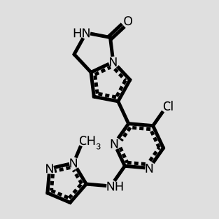 Cn1nccc1Nc1ncc(Cl)c(-c2cc3n(c2)C(=O)NC3)n1